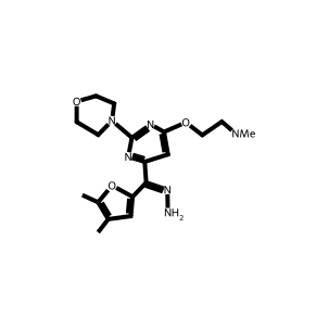 CNCCOc1cc(C(=NN)c2cc(C)c(C)o2)nc(N2CCOCC2)n1